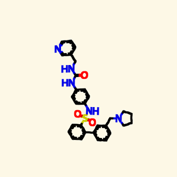 O=C(NCc1cccnc1)Nc1ccc(NS(=O)(=O)c2ccccc2-c2cccc(CN3CCCC3)c2)cc1